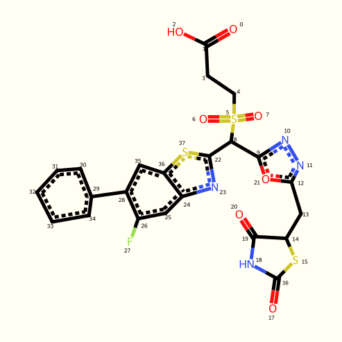 O=C(O)CCS(=O)(=O)C(c1nnc(CC2SC(=O)NC2=O)o1)c1nc2cc(F)c(-c3ccccc3)cc2s1